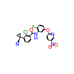 N#CC1(c2cccc(C(=O)Nc3cc(Oc4ccc([N+](=O)[O-])cn4)ccc3F)c2Cl)CC1